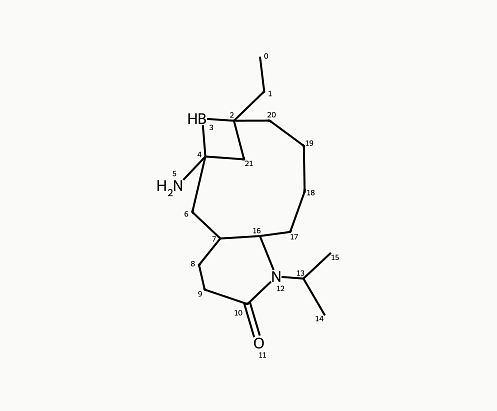 CCC12BC(N)(CC3CCC(=O)N(C(C)C)C3CCCC1)C2